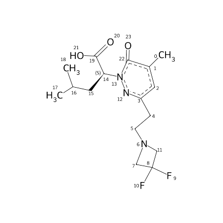 Cc1cc(CCN2CC(F)(F)C2)nn([C@@H](CC(C)C)C(=O)O)c1=O